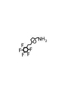 NCC1CCC(CCc2c(F)c(F)c(F)c(F)c2F)O1